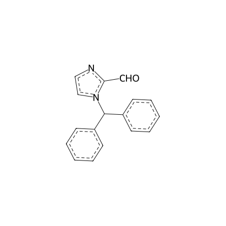 O=Cc1nccn1C(c1ccccc1)c1ccccc1